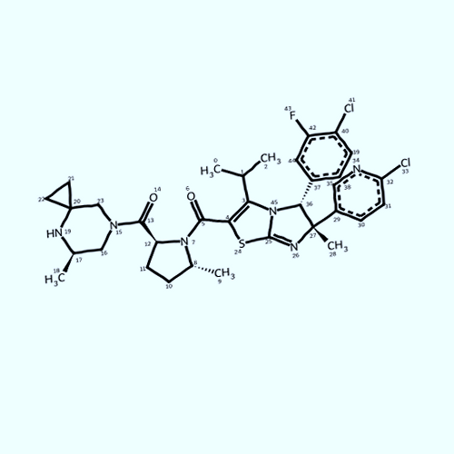 CC(C)C1=C(C(=O)N2[C@H](C)CC[C@H]2C(=O)N2C[C@@H](C)NC3(CC3)C2)SC2=N[C@@](C)(c3ccc(Cl)nc3)[C@@H](c3ccc(Cl)c(F)c3)N21